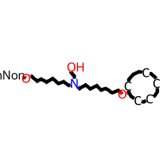 CCCCCCCCCOCCCCCCCCN(CCO)CCCCCCCCOC1CCCCCCCCCCCCCC1